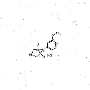 Cl.FC(F)(F)Oc1cccc([C@@H]2[C@@H]3CNC[C@@H]32)c1